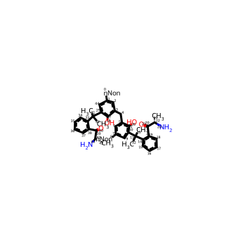 CCCCCCCCCc1cc(Cc2cc(CCCCCCCCC)cc(C(C)(C)c3ccccc3C(=O)[C@H](C)N)c2O)c(O)c(C(C)(C)c2ccccc2C(=O)[C@H](C)N)c1